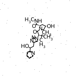 CNC(=O)[C@H]1C[C@H](O)CN1C(=O)[C@H](n1cc(CC(O)c2ccccn2)nn1)C(C)(C)C